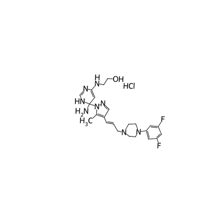 Cc1c(C=CCN2CCN(c3cc(F)cc(F)c3)CC2)cnn1C1(N)C=C(NCCO)N=CN1.Cl